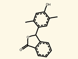 Cc1cc(C2OC(=O)c3ccccc32)c(C)cc1O